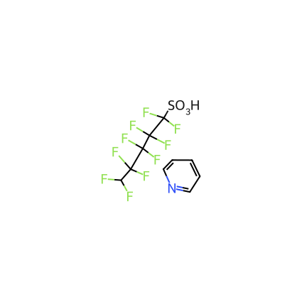 O=S(=O)(O)C(F)(F)C(F)(F)C(F)(F)C(F)(F)C(F)F.c1ccncc1